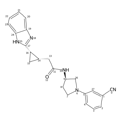 N#Cc1cccc(N2CC[C@@H](NC(=O)C[C@@H]3C[C@@H]3c3nc4ccccc4[nH]3)C2)c1